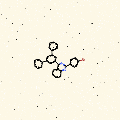 Brc1ccc(-c2nc(-c3cc(-c4ccccc4)cc(-c4ccccc4)c3)c3ccccc3n2)cc1